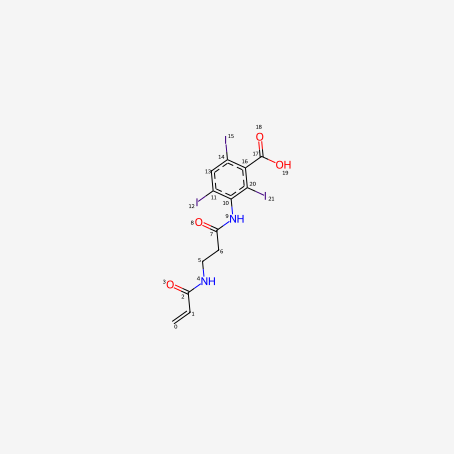 C=CC(=O)NCCC(=O)Nc1c(I)cc(I)c(C(=O)O)c1I